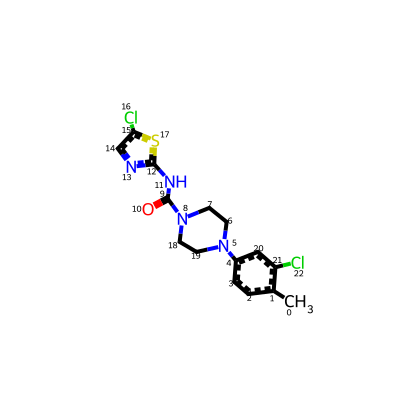 Cc1ccc(N2CCN(C(=O)Nc3ncc(Cl)s3)CC2)cc1Cl